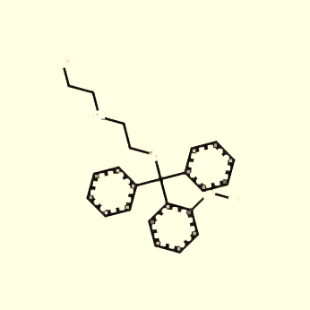 COc1ccccc1C(NCCNCCO)(c1ccccc1)c1ccccc1